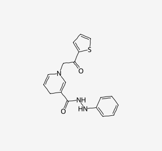 O=C(NNc1ccccc1)C1=CN(CC(=O)c2cccs2)C=CC1